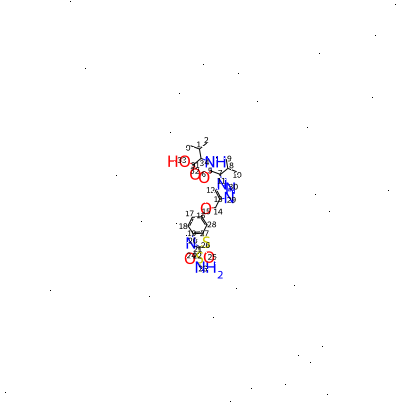 CC(C)C(NC(=O)C(C(C)C)n1cc(COc2ccc3nc(S(N)(=O)=O)sc3c2)nn1)C(=O)O